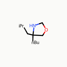 CCCCC1(CC(C)C)COCN1